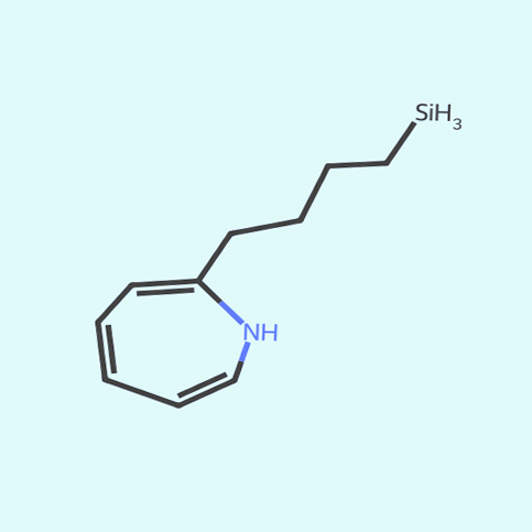 [SiH3]CCCCC1=CC=CC=CN1